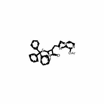 CC(=O)Oc1nccn2cc(CC3C(=O)NC3SC(c3ccccc3)(c3ccccc3)c3ccccc3)nc12